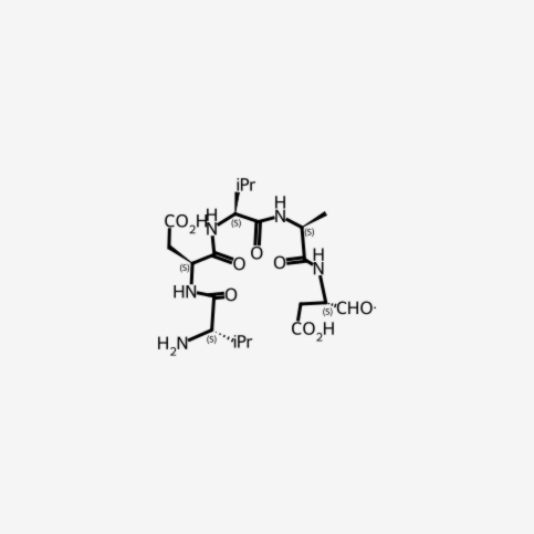 CC(C)[C@H](N)C(=O)N[C@@H](CC(=O)O)C(=O)N[C@H](C(=O)N[C@@H](C)C(=O)N[C@H]([C]=O)CC(=O)O)C(C)C